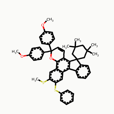 COc1ccc(C2(c3ccc(OC)cc3)C=Cc3c4c(c5cc(Sc6ccccc6)c(SC)cc5c3O2)-c2ccccc2C42CC(C)(C)CC(C)(C)C2)cc1